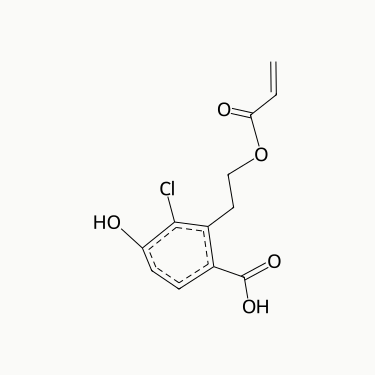 C=CC(=O)OCCc1c(C(=O)O)ccc(O)c1Cl